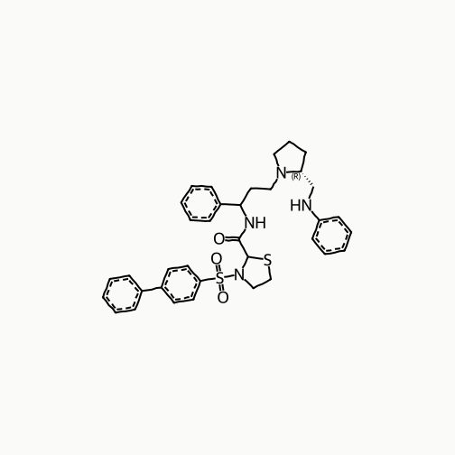 O=C(NC(CCN1CCC[C@@H]1CNc1ccccc1)c1ccccc1)C1SCCN1S(=O)(=O)c1ccc(-c2ccccc2)cc1